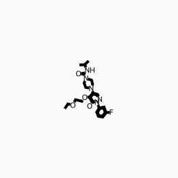 CCOCCOc1c(N2CCN(C(=O)NC(C)C)CC2)cnn(-c2cccc(F)c2)c1=O